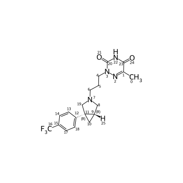 Cc1nn(CCCN2C[C@@H]3C[C@@]3(c3ccc(C(F)(F)F)cc3)C2)c(=O)[nH]c1=O